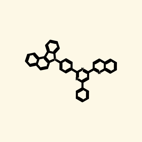 c1ccc(-c2cc(-c3ccc4ccccc4n3)nc(-c3ccc(-n4c5ccccc5c5c6ccccc6ccc54)cc3)n2)cc1